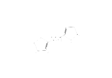 C1=[C]([Mg][C]2=CCCC2)CCC1